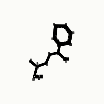 CN(CCC(O)c1ccccc1)C(=O)O